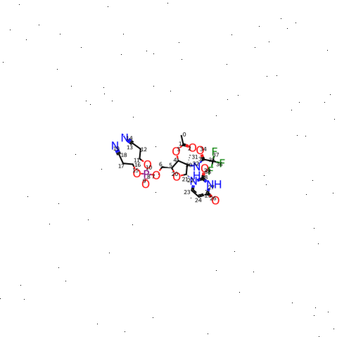 CC(=O)O[C@@H]1[C@H](COP(=O)(OCCC#N)OCCC#N)O[C@@H](n2ccc(=O)[nH]c2=O)[C@]1(C)NC(=O)C(F)(F)F